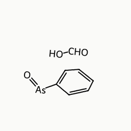 O=CO.O=[As]c1ccccc1